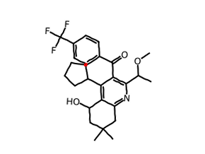 COC(C)c1nc2c(c(C3CCCC3)c1C(=O)c1ccc(C(F)(F)F)cc1)C(O)CC(C)(C)C2